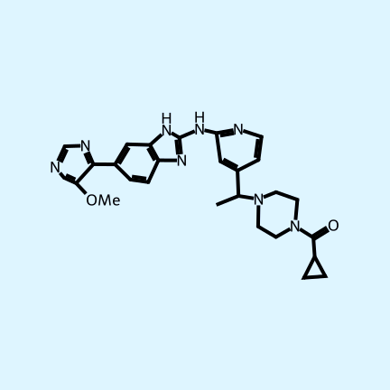 COc1cncnc1-c1ccc2nc(Nc3cc(C(C)N4CCN(C(=O)C5CC5)CC4)ccn3)[nH]c2c1